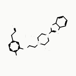 C[C@@H]1CN(C2=NC3C=CC=CC3S2)C[C@H](C)N1CCOc1cc(CC=O)ccc1Cl